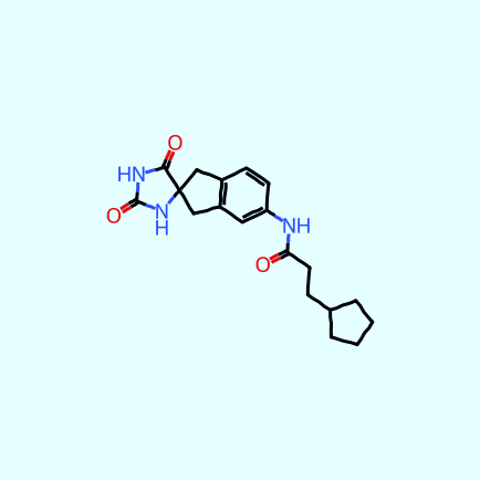 O=C(CCC1CCCC1)Nc1ccc2c(c1)CC1(C2)NC(=O)NC1=O